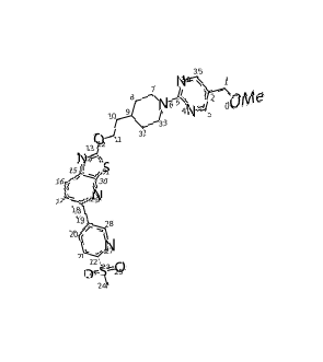 COCc1cnc(N2CCC(CCOc3nc4ccc(-c5ccc(S(C)(=O)=O)nc5)nc4s3)CC2)nc1